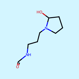 O=CNCCCN1CCCC1O